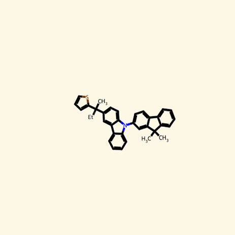 CCC(C)(c1ccc2c(c1)c1ccccc1n2-c1ccc2c(c1)C(C)(C)c1ccccc1-2)c1cccs1